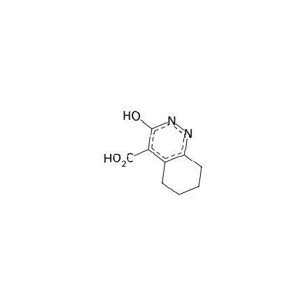 O=C(O)c1c(O)nnc2c1CCCC2